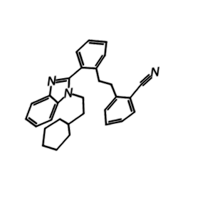 N#Cc1ccccc1CCc1ccccc1-c1nc2ccccc2n1CCC1CCCCC1